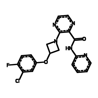 O=C(Nc1ccccn1)c1nccnc1N1CC(Oc2ccc(F)c(Cl)c2)C1